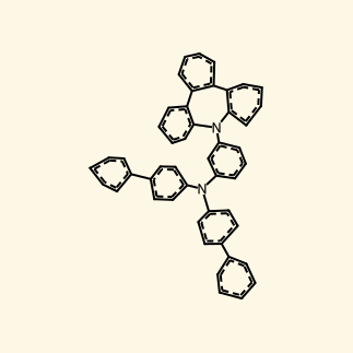 c1ccc(-c2ccc(N(c3ccc(-c4ccccc4)cc3)c3cccc(N4c5ccccc5-c5ccccc5-c5ccccc54)c3)cc2)cc1